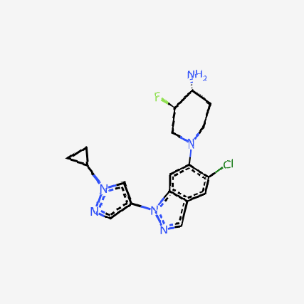 N[C@@H]1CCN(c2cc3c(cnn3-c3cnn(C4CC4)c3)cc2Cl)C[C@H]1F